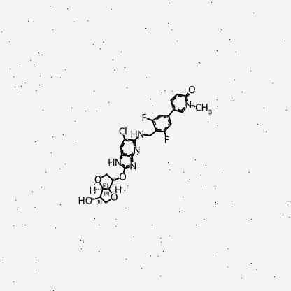 Cn1cc(-c2cc(F)c(CNc3nc4nc(O[C@@H]5CO[C@H]6[C@@H]5OC[C@H]6O)[nH]c4cc3Cl)c(F)c2)ccc1=O